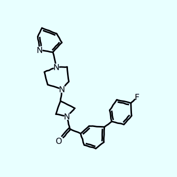 O=C(c1cccc(-c2ccc(F)cc2)c1)N1CC(N2CCN(c3ccccn3)CC2)C1